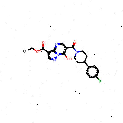 CCOC(=O)c1cnn2c(O)c(C(=O)N3CCC(c4ccc(F)cc4)CC3)cnc12